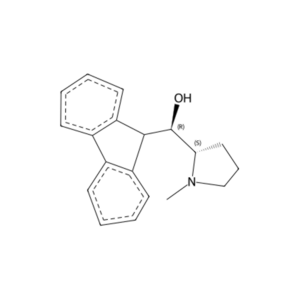 CN1CCC[C@H]1[C@H](O)C1c2ccccc2-c2ccccc21